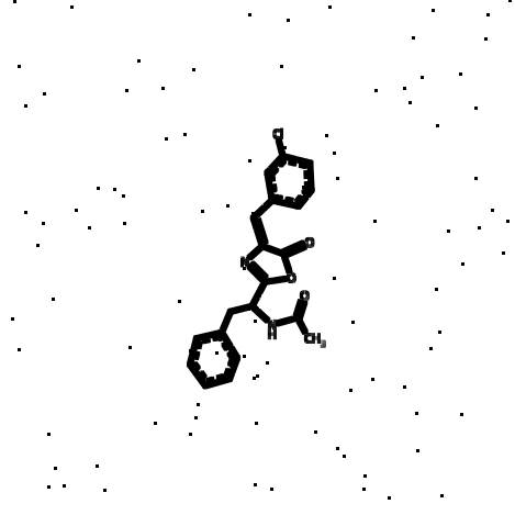 CC(=O)NC(Cc1ccccc1)C1=N/C(=C/c2cccc(Cl)c2)C(=O)O1